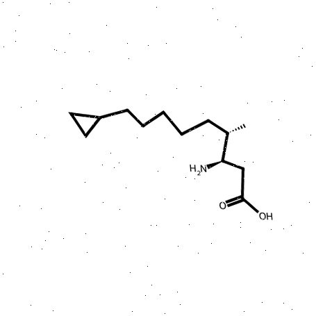 C[C@@H](CCCCCC1CC1)[C@H](N)CC(=O)O